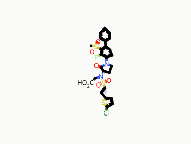 CS(=O)(=O)c1c(-c2ccccc2)ccc(N2CC[C@H](N(CC(=O)O)S(=O)(=O)/C=C/c3ccc(Cl)s3)C2=O)c1F